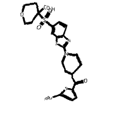 CCCCc1ccc(C(=O)C2CCN(c3nc4ccc(S(=O)(=O)C5(C(=O)O)CCOCC5)cc4s3)CC2)s1